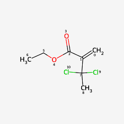 C=C(C(=O)OCC)C(C)(Cl)Cl